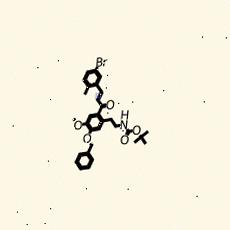 COc1cc(C(=O)/C=C/c2cc(Br)ccc2C)c(CCNC(=O)OC(C)(C)C)cc1OCc1ccccc1